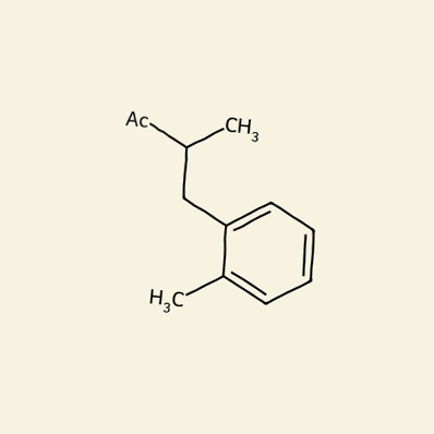 CC(=O)C(C)Cc1ccccc1C